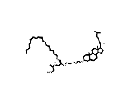 CCCCC/C=C\C/C=C\CCCCCCCCOCC(CNC(C)CO)OCCOCCO[C@H]1CCC2(C)C(=CCC3C2CCC2(C)C3CC[C@@H]2[C@@H](C)CCCC(C)C)C1